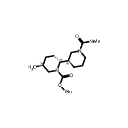 CNC(=O)N1CCC[C@@H]([C@H]2CC[C@H](C)CN2C(=O)OC(C)(C)C)C1